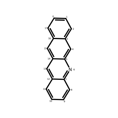 c1ccc2cc3nc4ccccc4cc3cc2c1